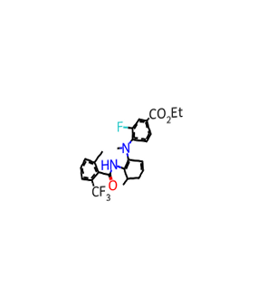 CCOC(=O)c1ccc(N(C)C2=C(NC(=O)c3c(C)cccc3C(F)(F)F)C(C)CC=C2)c(F)c1